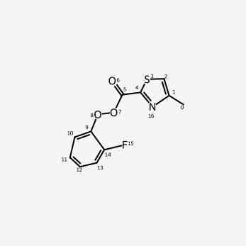 Cc1csc(C(=O)OOc2ccccc2F)n1